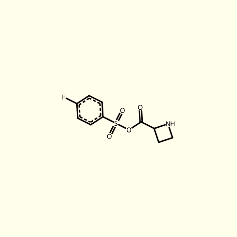 O=C(OS(=O)(=O)c1ccc(F)cc1)C1CCN1